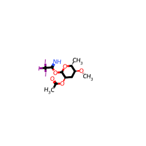 CO[C@H]1C[C@@H](OC(C)=O)C(OC(=N)C(I)(I)I)O[C@@H]1C